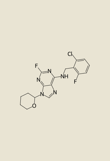 Fc1nc(NCc2c(F)cccc2Cl)c2ncn(C3CCCCO3)c2n1